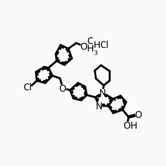 COCc1ccc(-c2ccc(Cl)cc2COc2ccc(-c3nc4cc(C(=O)O)ccc4n3C3CCCCC3)cc2)cc1.Cl